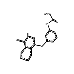 CCCCCCCCCC(=O)Nc1cccc(Cc2n[nH]c(=O)c3ccccc23)c1